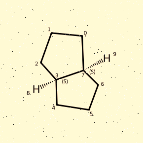 [CH]1CC[C@@H]2[CH]CC[C@H]12